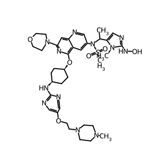 CC(c1cnc(NO)n1C)N(c1cnc2cc(N3CCOCC3)nc(O[C@H]3CC[C@@H](Nc4ncc(OCCN5CCN(C)CC5)cn4)CC3)c2c1)S(C)(=O)=O